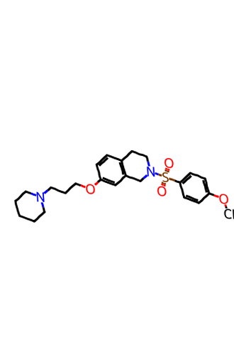 COc1ccc(S(=O)(=O)N2CCc3ccc(OCCCN4CCCCC4)cc3C2)cc1